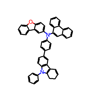 C1=Cc2c(n(-c3ccccc3)c3ccc(-c4ccc(N(c5ccc6oc7ccccc7c6c5)c5cc6ccccc6c6ccccc56)cc4)cc23)CC1